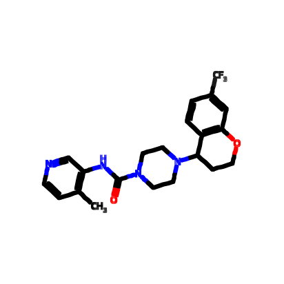 Cc1ccncc1NC(=O)N1CCN(C2CCOc3cc(C(F)(F)F)ccc32)CC1